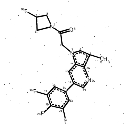 Cc1cn(CC(=O)N2CC(F)C2)c2cc(-c3cc(F)c(F)c(F)c3)cnc12